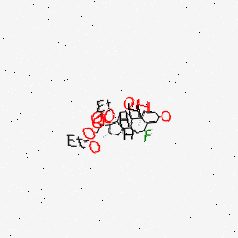 CCC(=O)OCC(=O)[C@@]1(OC(=O)CC)[C@@H](C)C[C@H]2[C@@H]3C[C@H](F)C4=CC(=O)C=C[C@]4(C)[C@H]3C(O)C[C@@]21C